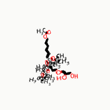 CC(=O)OCCCCCC[Si](C)(O[Si](C)(C)C)O[Si](C)(CCCOCC(O)CO)O[Si](C)(C)O[Si](C)(C)C